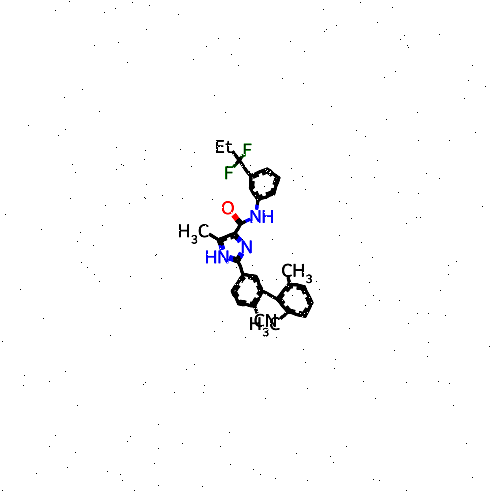 CCC(F)(F)c1cccc(NC(=O)c2nc(-c3ccc(C#N)c(-c4c(C)cccc4C)c3)[nH]c2C)c1